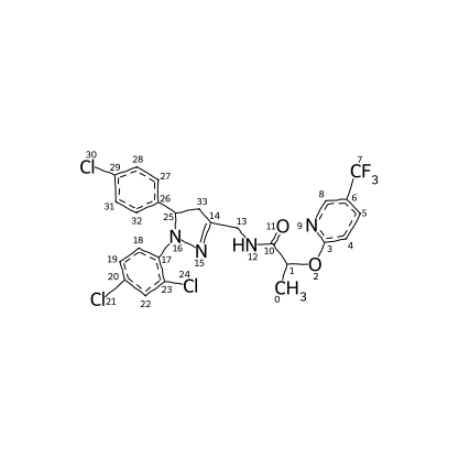 CC(Oc1ccc(C(F)(F)F)cn1)C(=O)NCC1=NN(c2ccc(Cl)cc2Cl)C(c2ccc(Cl)cc2)C1